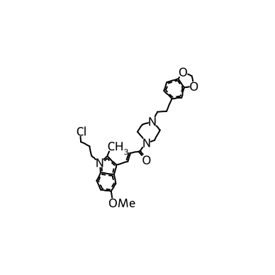 COc1ccc2c(c1)c(C=CC(=O)N1CCN(CCc3ccc4c(c3)OCO4)CC1)c(C)n2CCCCl